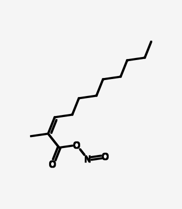 CCCCCCCCC=C(C)C(=O)ON=O